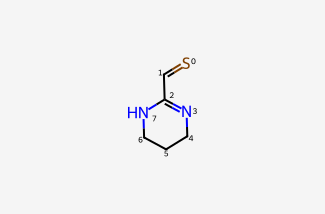 S=CC1=NCCCN1